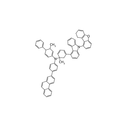 CC1C=C(N(c2ccc(-c3ccc4c(ccc5ccccc54)c3)cc2)C2(C)C=CC=C(c3cccc4c3c3ccccc3n4-c3cccc4oc5c(c34)CCC=C5)C2)C=CC1c1ccccc1